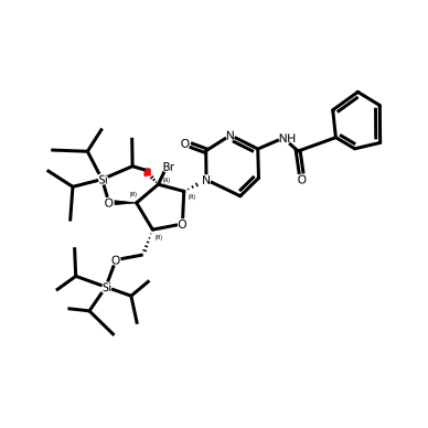 CC(C)[Si](OC[C@H]1O[C@@H](n2ccc(NC(=O)c3ccccc3)nc2=O)[C@](F)(Br)[C@@H]1O[Si](C(C)C)(C(C)C)C(C)C)(C(C)C)C(C)C